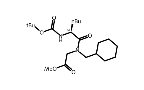 CCCC[C@H](NC(=O)OC(C)(C)C)C(=O)N(CC(=O)OC)CC1CCCCC1